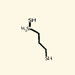 SCCC[SiH2]S